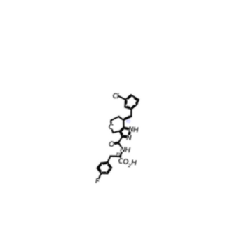 O=C(N[C@H](Cc1ccc(F)cc1)C(=O)O)c1n[nH]c2c1CCCC/C2=C\c1cccc(Cl)c1